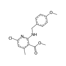 COC(=O)c1c(C)cc(Cl)nc1NCc1ccc(OC)cc1